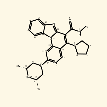 CNC(=O)c1c(N2CCCC2)c2cnc(N3C[C@@H](C)N[C@@H](C)C3)nc2n2c1nc1ccccc12